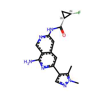 Cc1c(-c2cc3cc(NC(=O)[C@@H]4C[C@@H]4F)ncc3c(N)n2)cnn1C